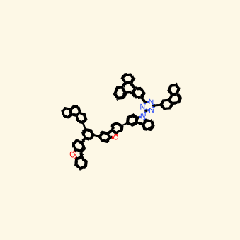 c1ccc2c(c1)ccc1ccc(-c3cc(-c4ccc5oc6ccccc6c5c4)cc(-c4ccc5oc6cc(-c7ccc8c(c7)c7ccccc7n8-c7nc(-c8ccc9ccc%10ccccc%10c9c8)nc(-c8ccc9c%10ccccc%10c%10ccccc%10c9c8)n7)ccc6c5c4)c3)cc12